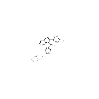 CCCCCOc1ccc(-c2ccc3cc(OCCCCC)ccc3c2C(=O)c2ccc(OCCN3CCCCC3)cc2)cc1